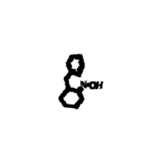 ON=C1CCCCC1Cc1ccccc1